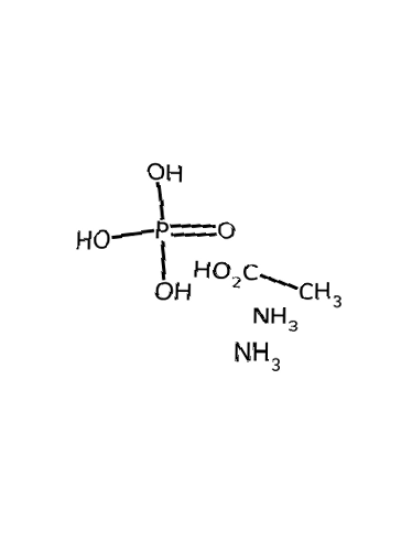 CC(=O)O.N.N.O=P(O)(O)O